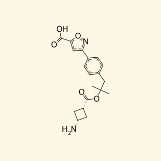 CC(C)(Cc1ccc(-c2cc(C(=O)O)on2)cc1)OC(=O)[C@H]1C[C@@H](N)C1